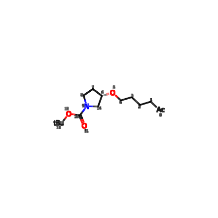 CC(=O)CCCCO[C@H]1CCN(C(=O)OC(C)(C)C)C1